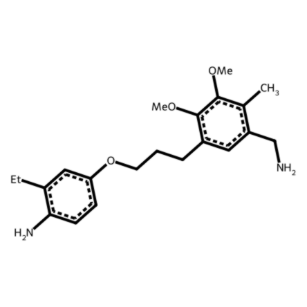 CCc1cc(OCCCc2cc(CN)c(C)c(OC)c2OC)ccc1N